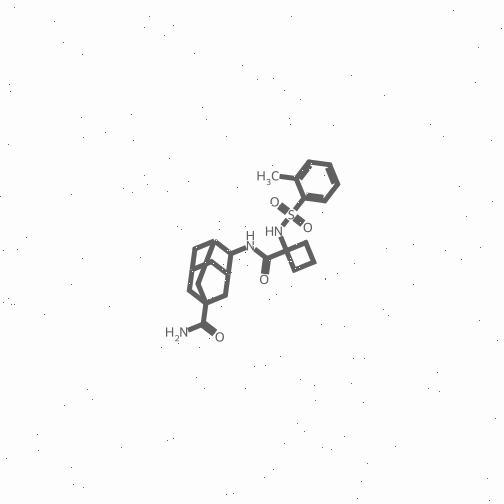 Cc1ccccc1S(=O)(=O)NC1(C(=O)NC2C3CC4CC2CC(C(N)=O)(C4)C3)CCC1